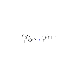 CCCOc1ccc(/C=C/C(=O)Nc2c[nH]c3cc(F)c(F)cc23)cc1